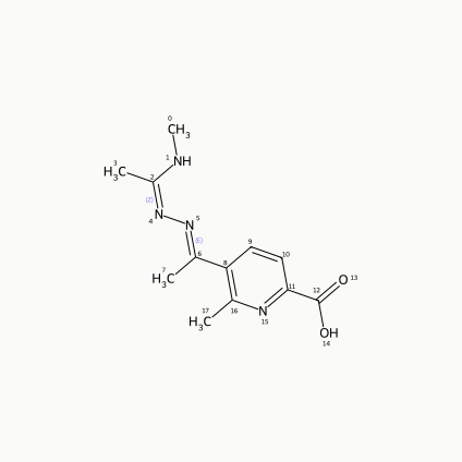 CN/C(C)=N\N=C(/C)c1ccc(C(=O)O)nc1C